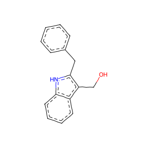 OCc1c(Cc2ccccc2)[nH]c2ccccc12